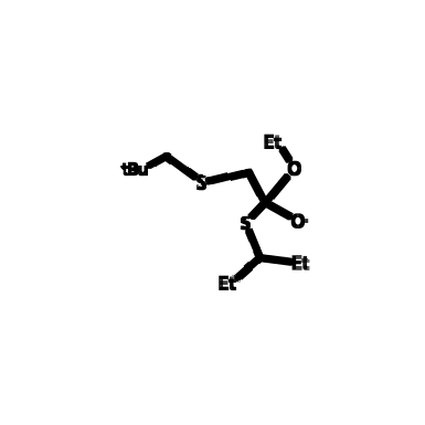 CCOC([O])(CSCC(C)(C)C)SC(CC)CC